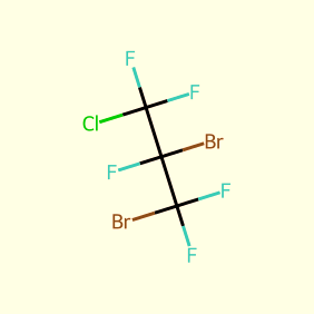 FC(F)(Cl)C(F)(Br)C(F)(F)Br